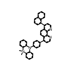 C[Si]1(C)c2ccccc2N(c2ccc(-c3ccnc4c3ccc3c(-c5cccc6ccccc56)ccnc34)cc2)c2ccccc21